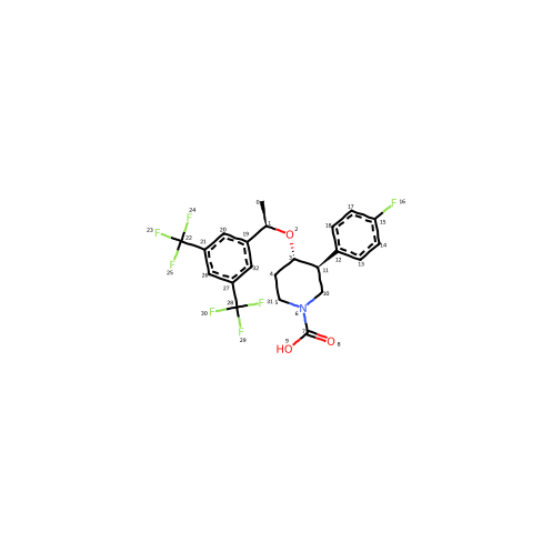 C[C@@H](O[C@H]1CCN(C(=O)O)C[C@@H]1c1ccc(F)cc1)c1cc(C(F)(F)F)cc(C(F)(F)F)c1